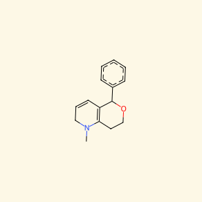 CN1CC=CC2=C1CCOC2c1ccccc1